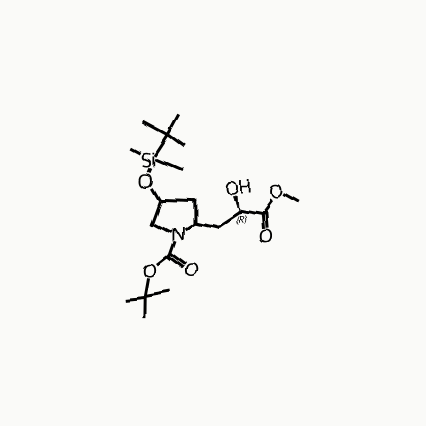 COC(=O)[C@H](O)CC1CC(O[Si](C)(C)C(C)(C)C)CN1C(=O)OC(C)(C)C